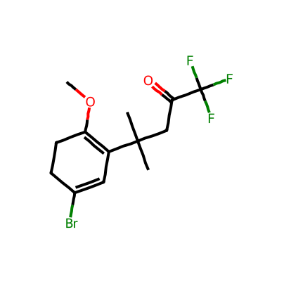 COC1=C(C(C)(C)CC(=O)C(F)(F)F)C=C(Br)CC1